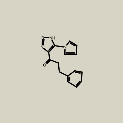 O=C(CCc1ccccc1)c1nn[nH]c1-n1cccc1